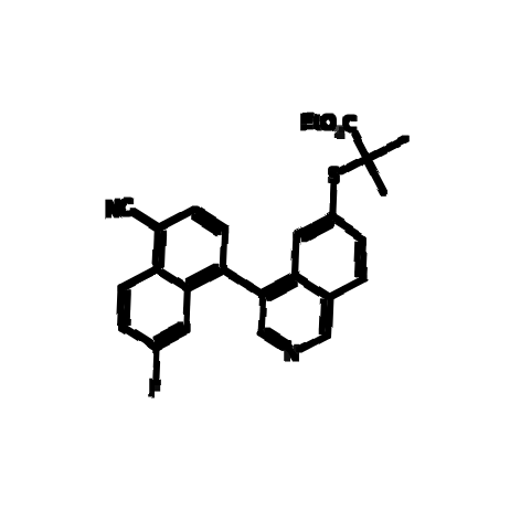 CCOC(=O)C(C)(C)Sc1ccc2cncc(-c3ccc(C#N)c4ccc(F)cc34)c2c1